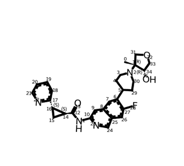 C[C@@]1(N2CCC(c3cc4cc(NC(=O)[C@H]5C[C@@H]5c5ccccn5)ncc4cc3F)CC2)COC[C@@H]1O